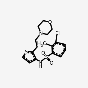 Cc1c(Cl)cccc1S(=O)(=O)Nc1ccsc1CCN1CCOCC1